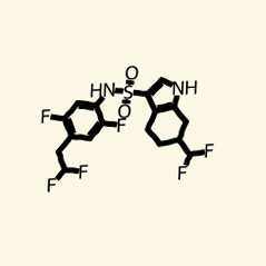 O=S(=O)(Nc1cc(F)c(CC(F)F)cc1F)c1c[nH]c2c1CCC(C(F)F)C2